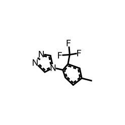 Cc1ccc(-n2cnnc2)c(C(F)(F)F)c1